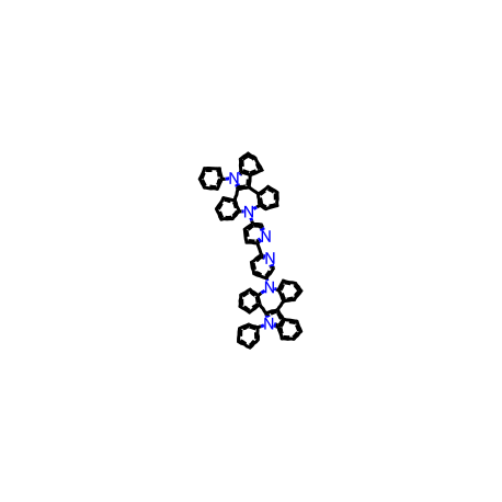 c1ccc(-n2c3c(c4ccccc42)-c2ccccc2N(c2ccc(-c4ccc(N5c6ccccc6-c6c(n(-c7ccccc7)c7ccccc67)-c6ccccc65)cn4)nc2)c2ccccc2-3)cc1